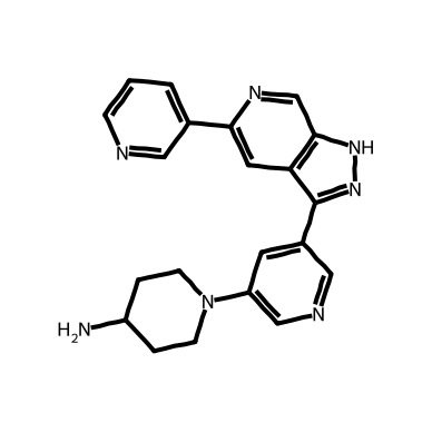 NC1CCN(c2cncc(-c3n[nH]c4cnc(-c5cccnc5)cc34)c2)CC1